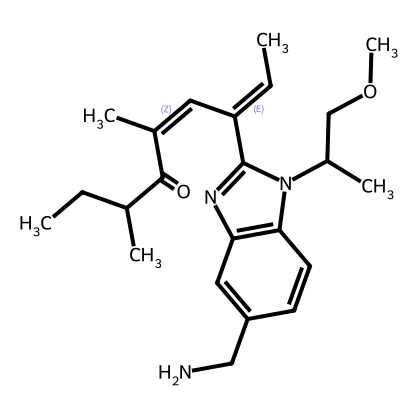 C/C=C(\C=C(\C)C(=O)C(C)CC)c1nc2cc(CN)ccc2n1C(C)COC